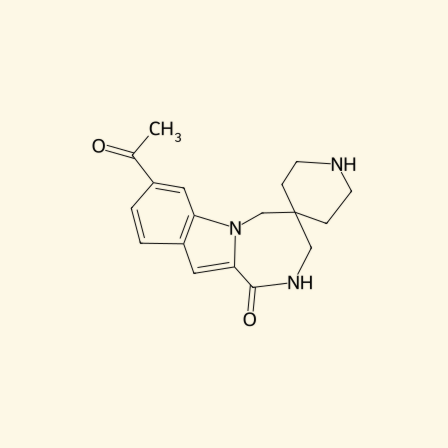 CC(=O)c1ccc2cc3n(c2c1)CC1(CCNCC1)CNC3=O